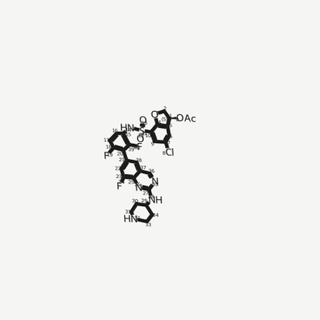 CC(=O)O[C@@H]1COc2c1cc(Cl)cc2S(=O)(=O)Nc1ccc(F)c(-c2cc(F)c3nc(NC4CCNCC4)ncc3c2)c1F